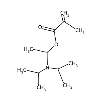 C=C(C)C(=O)OC(C)N(C(C)C)C(C)C